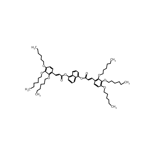 CCCCCCOc1ccc(/C=C/C(=O)Oc2cccc3c(OC(=O)/C=C/c4ccc(OCCCCCC)c(OCCCCCC)c4OCCCCCC)cccc23)c(OCCCCCC)c1OCCCCCC